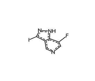 Fc1cncc2c(I)n[nH]c12